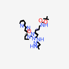 Cc1cc(Nc2cc(/C=C/CNC(=O)OC(C)(C)C)nc(N3CCC[C@H]3c3cc(-c4ccccn4)no3)n2)n[nH]1